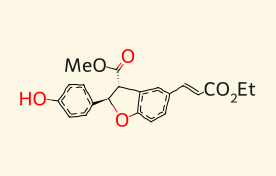 CCOC(=O)/C=C/c1ccc2c(c1)[C@@H](C(=O)OC)[C@H](c1ccc(O)cc1)O2